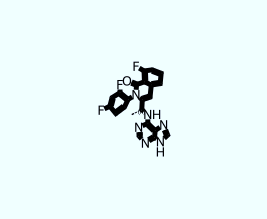 C[C@@H](Nc1ncnc2[nH]cnc12)c1cc2cccc(F)c2c(=O)n1-c1ccc(F)cc1F